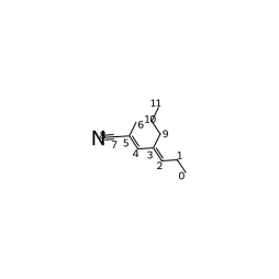 CC/C=C(/C=C(\C)C#N)CCC